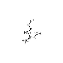 C=C(CO)NCCF